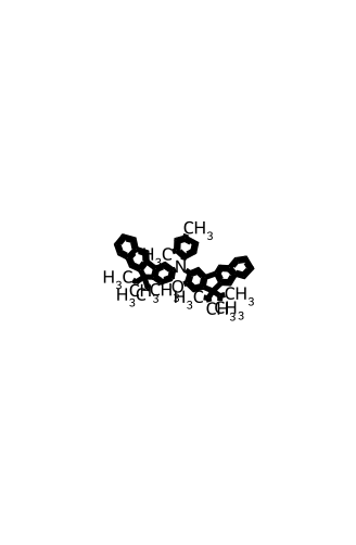 Cc1ccc(N2c3cc4c(cc3Oc3cc5c(cc32)-c2cc3ccccc3cc2C5(C(C)C)C(C)C)C(C(C)C)(C(C)C)c2cc3ccccc3cc2-4)c(C)c1